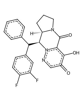 O=C1c2c(O)c(=O)cnn2[C@@H](C(c2ccccc2)c2ccc(F)c(F)c2)[C@H]2CCCN12